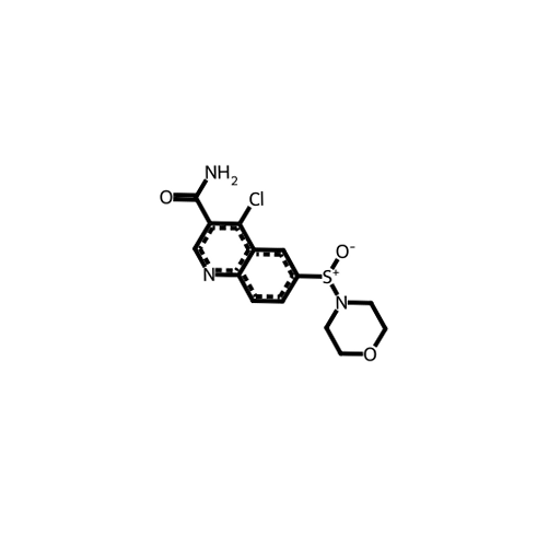 NC(=O)c1cnc2ccc([S+]([O-])N3CCOCC3)cc2c1Cl